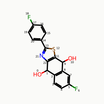 OC1c2ccc(F)cc2C(O)c2sc(-c3ccc(F)cc3)nc21